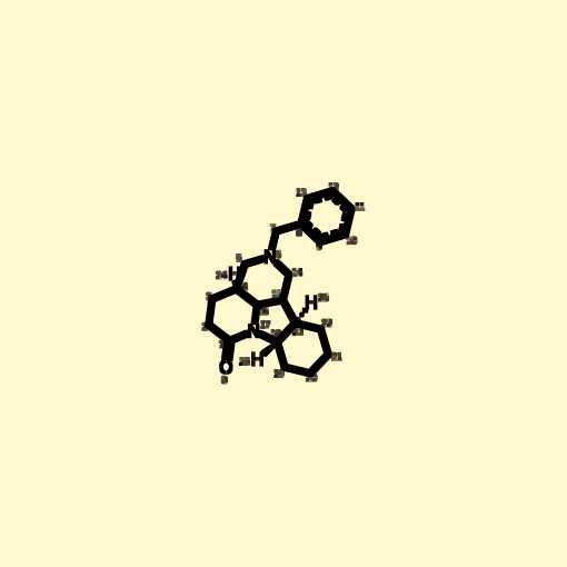 O=C1CC[C@@H]2CN(Cc3ccccc3)CC3C2N1[C@H]1CCCC[C@H]31